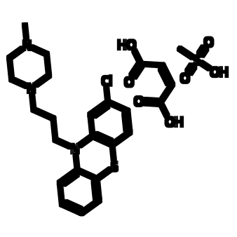 CN1CCN(CCCN2c3ccccc3Sc3ccc(Cl)cc32)CC1.CS(=O)(=O)O.O=C(O)/C=C\C(=O)O